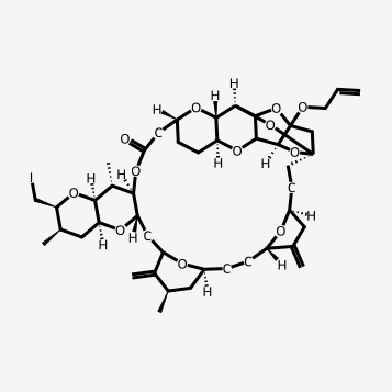 C=CCOC12C[C@]34CC[C@H]5CC(=C)[C@H](CC[C@H]6C[C@@H](C)C(=C)C(C[C@@H]7O[C@H]8C[C@@H](C)[C@@H](CI)O[C@H]8[C@H](C)[C@H]7OC(=O)C[C@H]7CC[C@@H]8OC(C(O1)[C@@H](O3)[C@H]8O7)[C@@H]2O4)O6)O5